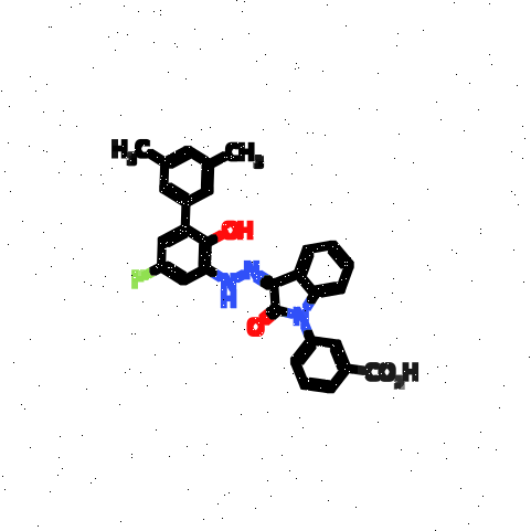 Cc1cc(C)cc(-c2cc(F)cc(NN=C3C(=O)N(c4cccc(C(=O)O)c4)c4ccccc43)c2O)c1